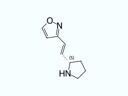 C(=C[C@@H]1CCCN1)c1ccon1